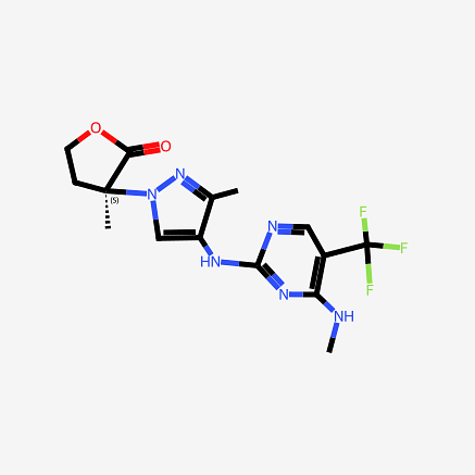 CNc1nc(Nc2cn([C@@]3(C)CCOC3=O)nc2C)ncc1C(F)(F)F